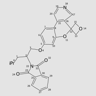 CC(C)CC(COc1ccc2c(c1)OC1(COC1)c1cnccc1-2)N1C(=O)c2ccccc2C1=O